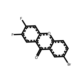 O=c1c2cc(Br)ccc2oc2cc(F)c(F)cc12